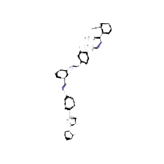 Cc1ccccc1C(=N)/C=C\Nc1ccc(/C=C/c2cccc(/C=C/c3ccc(-n4ccc(-c5ccccc5C)n4)cc3)c2)cc1